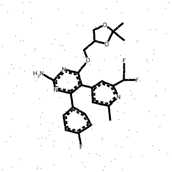 Cc1cc(-c2c(OCC3COC(C)(C)O3)nc(N)nc2-c2ccc(F)cc2)cc(C(F)F)n1